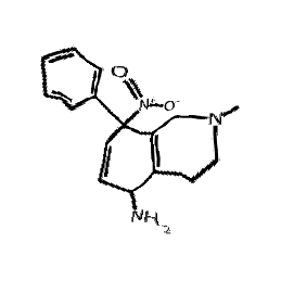 CN1CCC2=C(C1)C(c1ccccc1)([N+](=O)[O-])C=CC2N